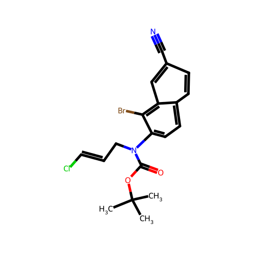 CC(C)(C)OC(=O)N(CC=CCl)c1ccc2ccc(C#N)cc2c1Br